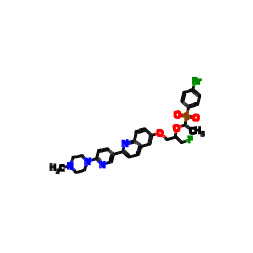 CC(OC(CF)COc1ccc2nc(-c3ccc(N4CCN(C)CC4)nc3)ccc2c1)S(=O)(=O)c1ccc(Br)cc1